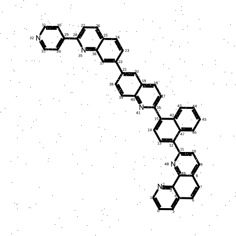 c1cnc2c(c1)ccc1ccc(-c3ccc(-c4ccc5cc(-c6ccc7ccc(-c8ccncc8)nc7c6)ccc5n4)c4ccccc34)nc12